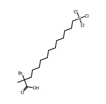 CC(Br)(CCCCCCCCCCCC[Si](Cl)(Cl)Cl)C(=O)O